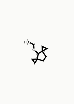 CCOC1C2(CC2)CCC12CC2